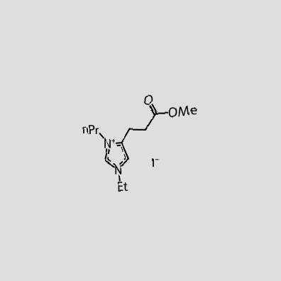 CCC[n+]1cn(CC)cc1CCC(=O)OC.[I-]